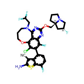 N#Cc1c(N)sc2c(F)ccc(-c3c(Cl)c4c5c(nc(OC[C@@]67CCCN6C[C@H](F)C7)nc5c3F)N(CC(F)F)CCCO4)c12